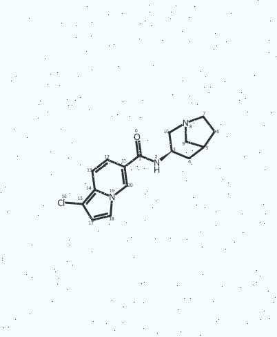 O=C(N[C@@H]1CC2CCN(C2)C1)c1ccc2c(Cl)ccn2c1